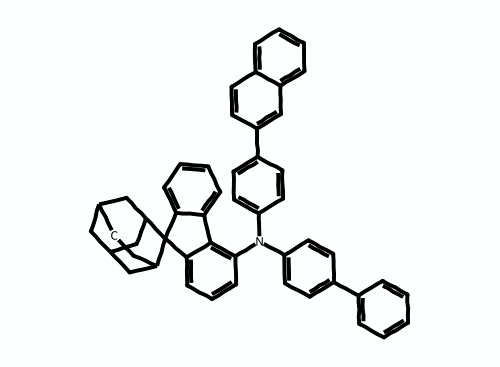 c1ccc(-c2ccc(N(c3ccc(-c4ccc5ccccc5c4)cc3)c3cccc4c3-c3ccccc3C43C4CCC5CC(C4)CC3C5)cc2)cc1